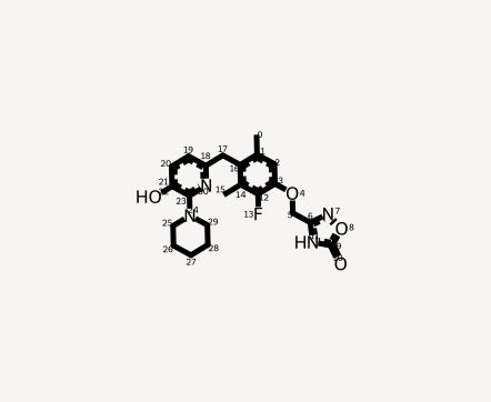 Cc1cc(OCc2noc(=O)[nH]2)c(F)c(C)c1Cc1ccc(O)c(N2CCCCC2)n1